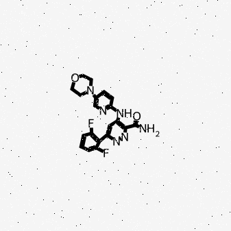 NC(=O)c1nnc(-c2c(F)cccc2F)cc1Nc1ccc(N2CCOCC2)cn1